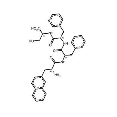 N[C@H](Cc1ccc2ccccc2c1)C(=O)N[C@H](Cc1ccccc1)C(=O)N[C@H](Cc1cccnc1)C(=O)N[C@@H](CO)C(=O)O